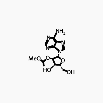 COC(C)O[C@@H]1[C@H](O)[C@@H](CO)O[C@H]1n1cnc2c(N)ncnc21